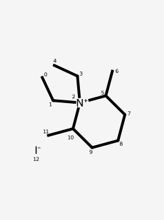 CC[N+]1(CC)C(C)CCCC1C.[I-]